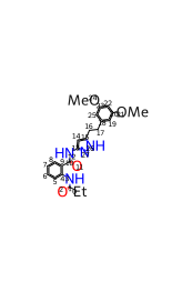 CCC(=O)Nc1ccccc1C(=O)Nc1cc(CCc2cc(OC)cc(OC)c2)[nH]n1